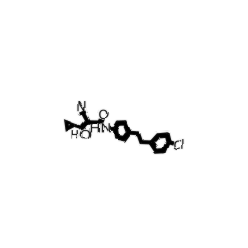 N#CC(C(=O)Nc1ccc(CCc2ccc(Cl)cc2)cc1)=C(O)C1CC1